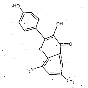 Cc1cc(N)c2oc(-c3ccc(O)cc3)c(O)c(=O)c2c1